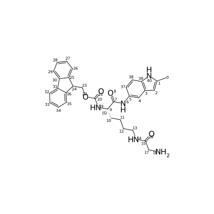 Cc1cc2cc(NC(=O)[C@H](CCCCNC(=O)CN)NC(=O)OCC3c4ccccc4-c4ccccc43)ccc2[nH]1